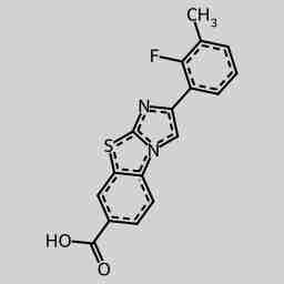 Cc1cccc(-c2cn3c(n2)sc2cc(C(=O)O)ccc23)c1F